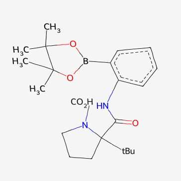 CC(C)(C)C1(C(=O)Nc2ccccc2B2OC(C)(C)C(C)(C)O2)CCCN1C(=O)O